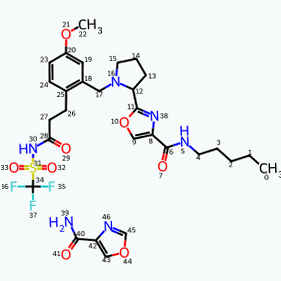 CCCCCNC(=O)c1coc(C2CCCN2Cc2cc(OC)ccc2CCC(=O)NS(=O)(=O)C(F)(F)F)n1.NC(=O)c1cocn1